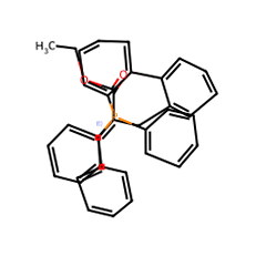 CCOC(=O)/C(=C/c1ccccc1)Cc1ccccc1-c1ccccc1P(c1ccccc1)c1ccccc1